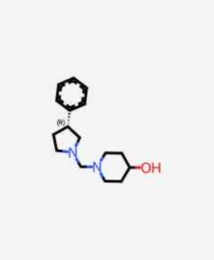 OC1CCN(CN2CC[C@H](c3ccccc3)C2)CC1